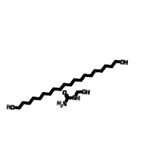 NC(=O)NCO.OCCCCCCCCCCCCCCCCCCCCO